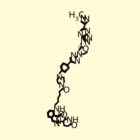 Cn1cc(-c2cnc3c(nnn3C[C@@H]3CN(c4ncc(-c5ccc(CN6CCN(C(=O)CCCCCNc7cccc8cnn(C9CCC(=O)NC9=O)c(=O)c78)CC6)cc5)cn4)CCO3)n2)cn1